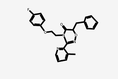 Cc1cccnc1C1=NOC(Cc2ccccc2)C(=O)N1CCOc1ccc(F)cc1